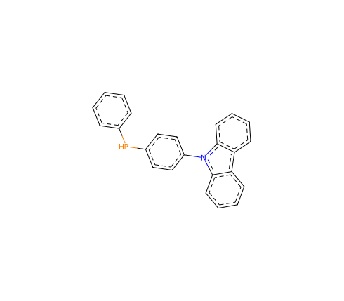 c1ccc(Pc2ccc(-n3c4ccccc4c4ccccc43)cc2)cc1